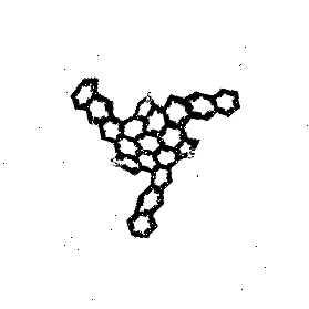 c1ccc2cc3c4c5c(cc3cc2c1)c1scc2c3c6cc7ccccc7cc6cc6c7scc8c9c%10cc%11ccccc%11cc%10cc%10c%11c(c%12c5c(c21)c(c63)c(c87)c%12c%109)C4CS%11